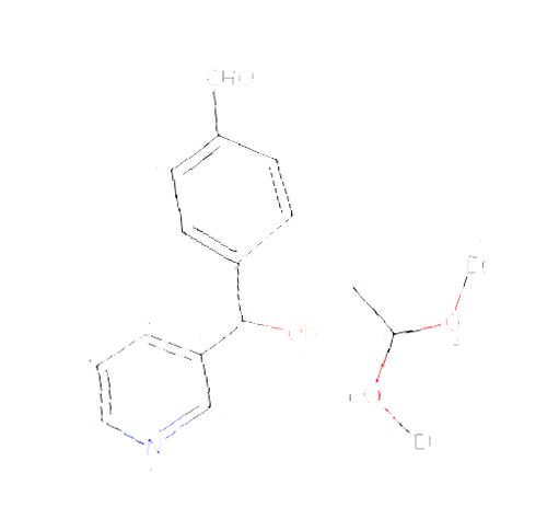 CCOC(C)OCC.O=Cc1ccc(C(O)c2cccnc2)cc1